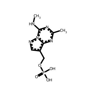 CNc1nc(C)nc2c(COP(=O)(O)O)cnn12